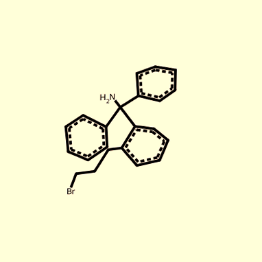 NC(c1ccccc1)(c1ccccc1)c1ccccc1CCCBr